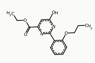 CCCOc1ccccc1-c1nc(O)cc(C(=O)OCC)n1